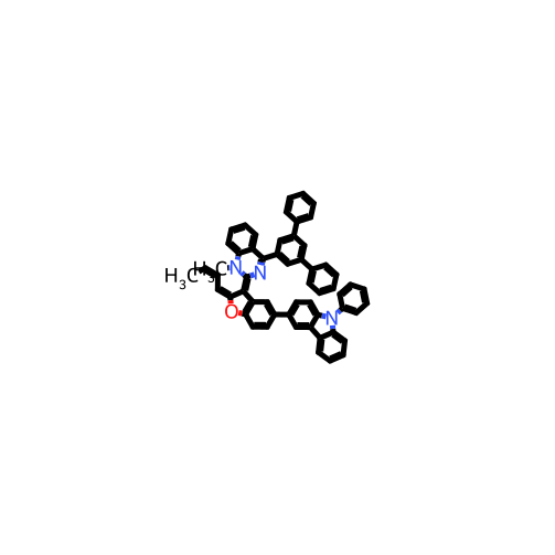 C\C=C/C=c1/oc2ccc(-c3ccc4c(c3)c3ccccc3n4-c3ccccc3)cc2/c1=C1\N=C(c2cc(-c3ccccc3)cc(-c3ccccc3)c2)c2ccccc2N1C